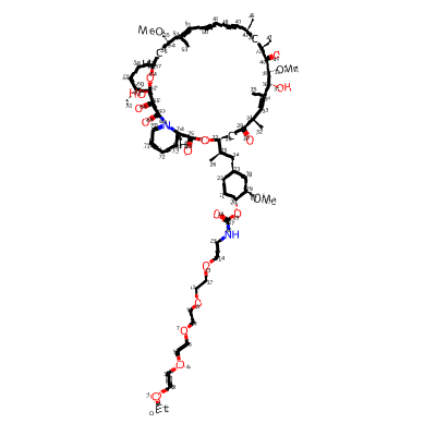 CCOCCOCCOCCOCCOCCNC(=O)O[C@@H]1CC[C@@H](C[C@@H](C)[C@@H]2CC(=O)[C@H](C)/C=C(\C)[C@@H](O)[C@@H](OC)C(=O)[C@H](C)C[C@H](C)/C=C/C=C/C=C(\C)[C@@H](OC)C[C@@H]3CC[C@@H](C)[C@@](O)(O3)C(=O)C(=O)N3CCCC[C@H]3C(=O)O2)C[C@H]1OC